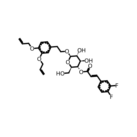 C=CCOc1ccc(CCO[C@@H]2O[C@H](CO)[C@@H](OC(=O)C=Cc3ccc(F)c(F)c3)[C@H](O)[C@H]2O)cc1OCC=C